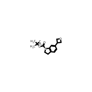 CC(C)(C)OC(=O)N1CCc2ccc(C3COC3)cc21